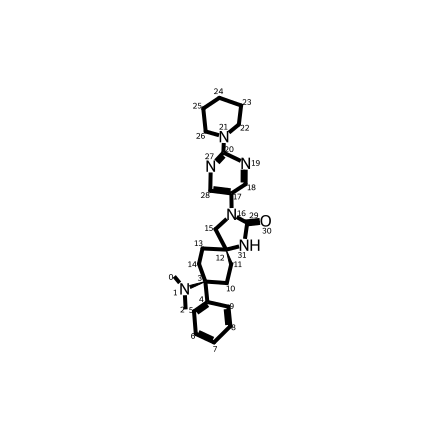 CN(C)[C@]1(c2ccccc2)CC[C@@]2(CC1)CN(c1cnc(N3CCCCC3)nc1)C(=O)N2